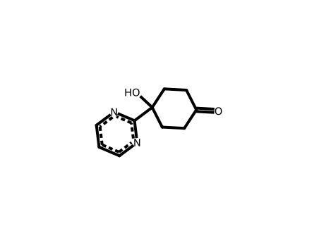 O=C1CCC(O)(c2ncccn2)CC1